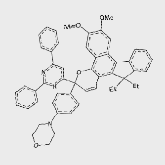 CCC1(CC)c2ccccc2-c2c1c1c(c3cc(OC)c(OC)cc23)OC(c2ccc(N3CCOCC3)cc2)(c2cc(-c3ccccc3)nc(-c3ccccc3)n2)C=C1